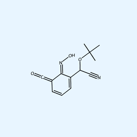 CC(C)(C)OC(C#N)C1=CC=CC(=C=O)C1=NO